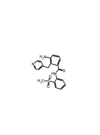 CS(=O)(=O)c1ccccc1NC(=O)c1cccc(N)c1Cc1ccncc1